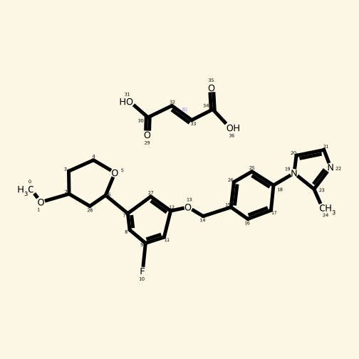 COC1CCOC(c2cc(F)cc(OCc3ccc(-n4ccnc4C)cc3)c2)C1.O=C(O)/C=C/C(=O)O